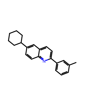 Cc1cccc(-c2ccc3cc(C4CCCCC4)ccc3n2)c1